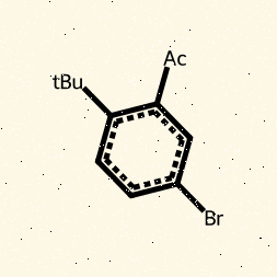 CC(=O)c1cc(Br)ccc1C(C)(C)C